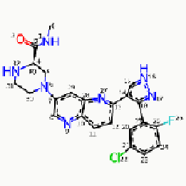 CNC(=O)[C@H]1CN(c2cnc3ccc(-c4c[nH]nc4-c4cc(Cl)ccc4F)nc3c2)CCN1